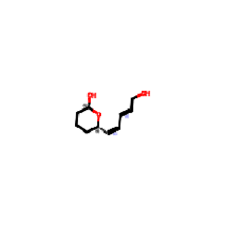 OC/C=C/C=C\[C@@H]1CCC[C@@H](O)O1